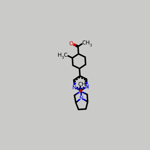 CC(=O)C1CCC(c2cnc(N3C4CCC3CN(C)C4)nc2)CC1C